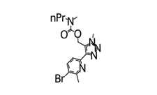 CCCN(C)C(=O)OCc1c(-c2ccc(Br)c(C)n2)nnn1C